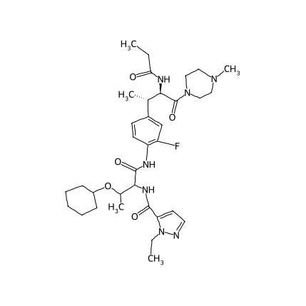 CCC(=O)N[C@@H](C(=O)N1CCN(C)CC1)[C@@H](C)c1ccc(NC(=O)C(NC(=O)c2ccnn2CC)C(C)OC2CCCCC2)c(F)c1